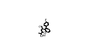 CC(O)C1=CC(C=O)c2c(cccc2-c2ccc(F)cc2)O1